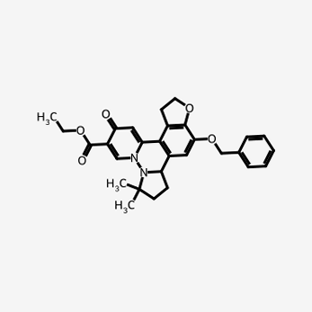 CCOC(=O)c1cn2c(cc1=O)-c1c(cc(OCc3ccccc3)c3c1CCO3)C1CCC(C)(C)N12